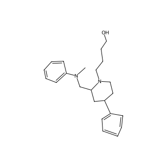 CN(CC1CC(c2ccccc2)CCN1CCCCO)c1ccccc1